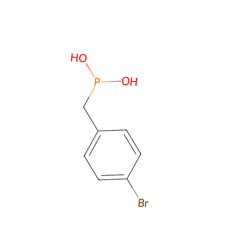 OP(O)Cc1ccc(Br)cc1